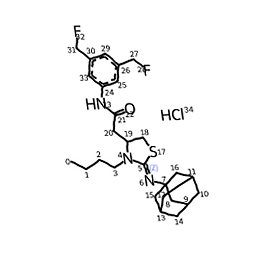 CCCCN1/C(=N/C23CC4CC(CC(C4)C2)C3)SCC1CC(=O)Nc1cc(CF)cc(CF)c1.Cl